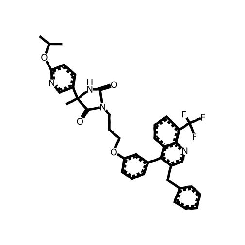 CC(C)Oc1ccc(C2(C)NC(=O)N(CCCOc3cccc(-c4c(Cc5ccccc5)cnc5c(C(F)(F)F)cccc45)c3)C2=O)cn1